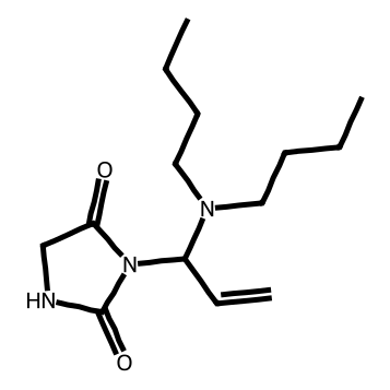 C=CC(N(CCCC)CCCC)N1C(=O)CNC1=O